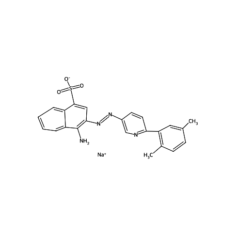 Cc1ccc(C)c(-c2ccc(N=Nc3cc(S(=O)(=O)[O-])c4ccccc4c3N)cn2)c1.[Na+]